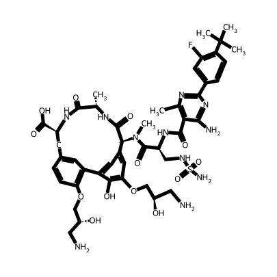 Cc1nc(-c2ccc(C(C)(C)C)c(F)c2)nc(N)c1C(=O)N[C@@H](CNS(N)(=O)=O)C(=O)N(C)[C@@H]1C(=O)N[C@@H](C)C(=O)N[C@H](C(=O)O)Cc2ccc(OC[C@H](O)CN)c(c2)-c2cc1cc(OC[C@H](O)CN)c2O